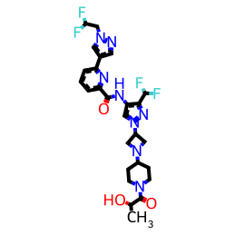 CC(O)C(=O)N1CCC(N2CC(n3cc(NC(=O)c4cccc(-c5cnn(CC(F)F)c5)n4)c(C(F)F)n3)C2)CC1